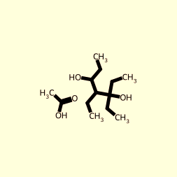 CC(=O)O.CCC(O)C(CC)C(O)(CC)CC